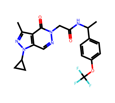 Cc1nn(C2CC2)c2cnn(CC(=O)NC(C)c3ccc(OC(F)(F)F)cc3)c(=O)c12